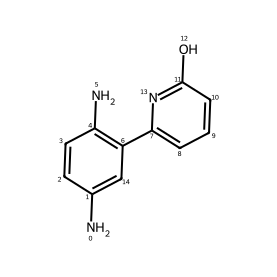 Nc1ccc(N)c(-c2cccc(O)n2)c1